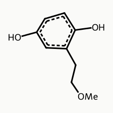 COCCc1cc(O)ccc1O